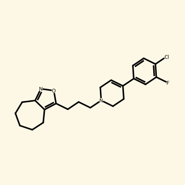 Fc1cc(C2=CCN(CCCc3onc4c3CCCCC4)CC2)ccc1Cl